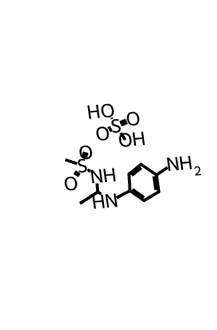 CC(Nc1ccc(N)cc1)NS(C)(=O)=O.O=S(=O)(O)O